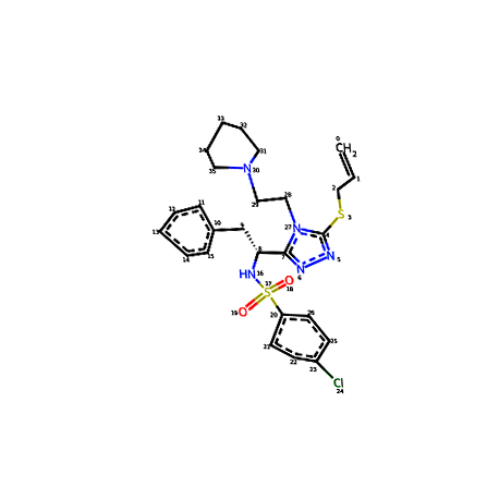 C=CCSc1nnc([C@@H](Cc2ccccc2)NS(=O)(=O)c2ccc(Cl)cc2)n1CCN1CCCCC1